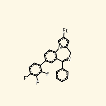 CCc1cc2n(c1)-c1ccc(-c3ccc(F)c(F)c3F)cc1C(c1ccccc1)=NC2